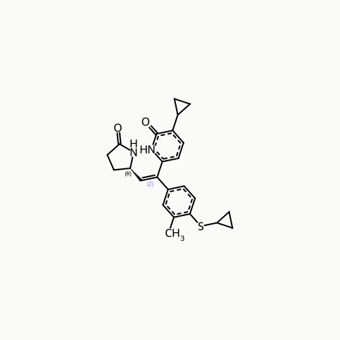 Cc1cc(/C(=C/[C@H]2CCC(=O)N2)c2ccc(C3CC3)c(=O)[nH]2)ccc1SC1CC1